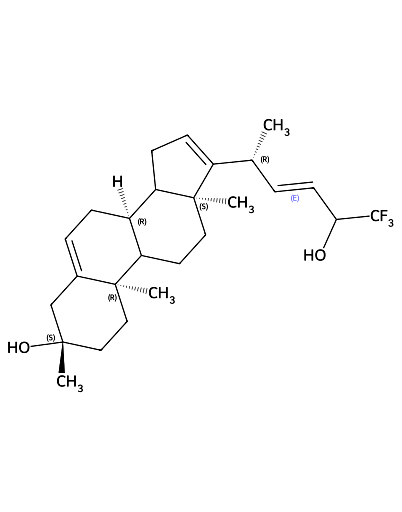 C[C@H](/C=C/C(O)C(F)(F)F)C1=CCC2[C@@H]3CC=C4C[C@@](C)(O)CC[C@]4(C)C3CC[C@]12C